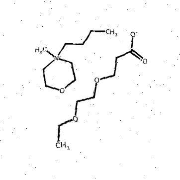 CCCC[N+]1(C)CCOCC1.CCOCCOCCC(=O)[O-]